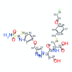 NS(=O)(=O)c1nc2cc(OCc3cn(C(CCO)C(=O)NC(CSCc4cccc(OCCF)c4)C(=O)O)nn3)ccc2s1